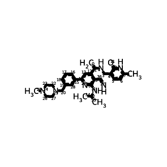 C=C(NCc1ccc(C)[nH]c1=O)c1cc(-c2cccc(CN3CCN(C)CC3)c2)nc(NC(C)C)c1C=N